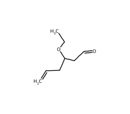 C=CCC(CC=O)OCC